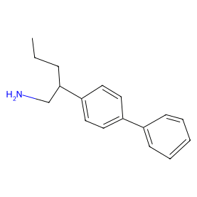 CCCC(CN)c1ccc(-c2ccccc2)cc1